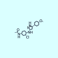 COc1ccc(-c2cc(Nc3ccc(NC(C)=O)cc3Cl)n[nH]2)cc1